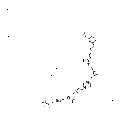 CC(C)(C)Cc1cccc(COCCCNC(C)(C)CCC(C)(C)NCCN2CCN(CCC(C)(C)CC[C@@H](OCCCOCCNC(C)(C)C)C(C)(C)C)CC2)c1